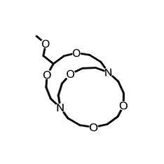 COCC1COCCN2CCOCCOCCN(CCOCC2)CCO1